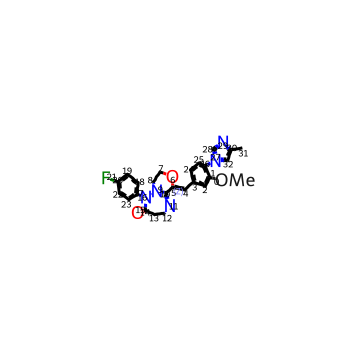 COc1cc(/C=C2\OCCN3C2=NCCC(=O)N3c2ccc(F)cc2)ccc1-n1cnc(C)c1